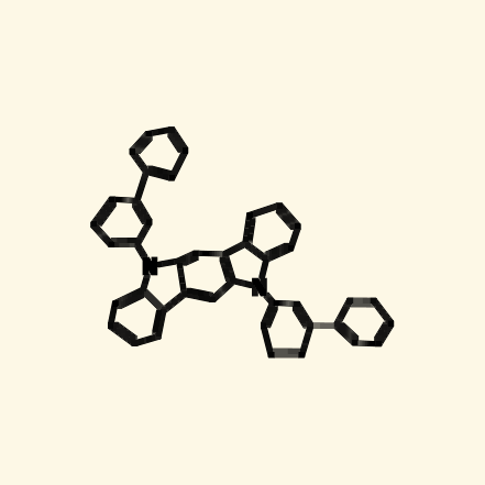 c1ccc(-c2cccc(-n3c4ccccc4c4cc5c(cc43)c3ccccc3n5-c3cccc(-c4ccccc4)c3)c2)cc1